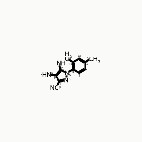 Cc1ccc(-n2nc(C#N)c([NH])c2[NH])c(C)c1